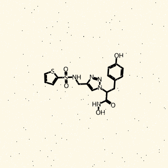 O=C(NO)C(Cc1ccc(O)cc1)n1cc(CNS(=O)(=O)c2cccs2)nn1